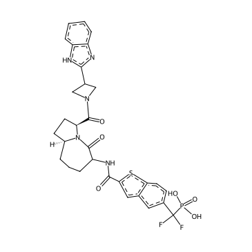 O=C(NC1CCC[C@H]2CC[C@@H](C(=O)N3CC(c4nc5ccccc5[nH]4)C3)N2C1=O)c1cc2cc(C(F)(F)P(=O)(O)O)ccc2s1